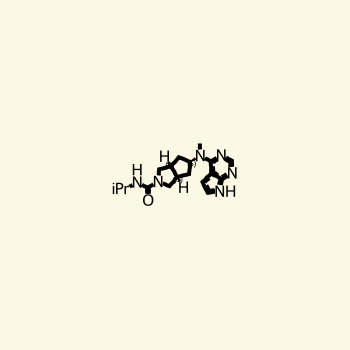 CC(C)NC(=O)N1C[C@H]2C[C@H](N(C)c3ncnc4[nH]ccc34)C[C@H]2C1